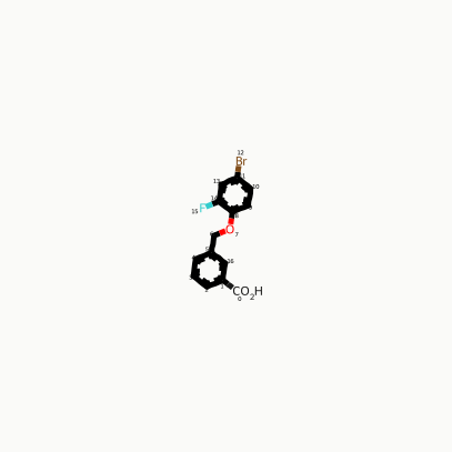 O=C(O)c1cccc(COc2ccc(Br)cc2F)c1